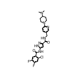 CN(C)C1CCN(c2ccc(CNC(=O)c3cc(NC(=O)c4cc(F)c(F)cc4Cl)[nH]n3)cn2)CC1